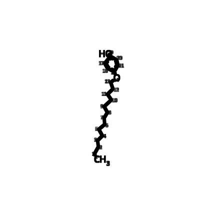 CCCCCCCCCCCCCCOc1ccc(O)cc1